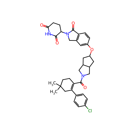 CC1(C)CCC(C(=O)N2CC3CC(Oc4ccc5c(c4)CN(C4CCC(=O)NC4=O)C5=O)CC3C2)=C(c2ccc(Cl)cc2)C1